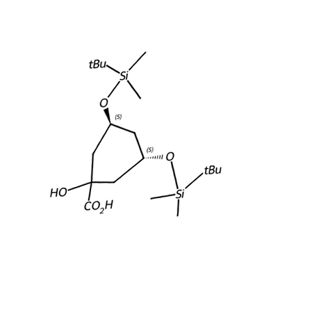 CC(C)(C)[Si](C)(C)O[C@H]1C[C@H](O[Si](C)(C)C(C)(C)C)CC(O)(C(=O)O)C1